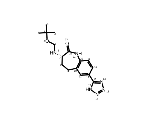 CC(C)(C)OCN[C@H]1CCc2cc(-c3nnn[nH]3)ccc2NC1=O